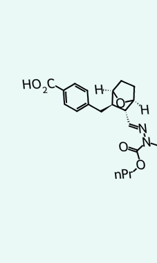 CCCOC(=O)N(C)N=C[C@@H]1[C@@H](Cc2ccc(C(=O)O)cc2)[C@H]2CC[C@@H]1O2